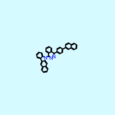 c1ccc2cc(-c3ccc(-c4nnc(-n5c6ccccc6c6cc7ccccc7cc65)c5ccccc45)cc3)ccc2c1